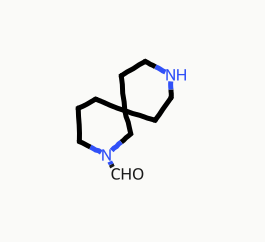 O=CN1CCCC2(CCNCC2)C1